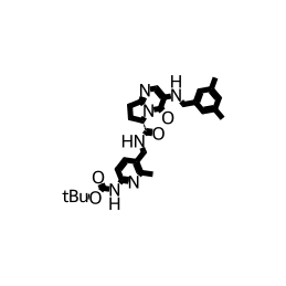 Cc1cc(C)cc(CNc2cnc3n(c2=O)[C@H](C(=O)NCc2ccc(NC(=O)OC(C)(C)C)nc2C)CC3)c1